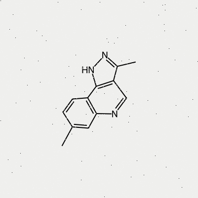 Cc1ccc2c(c1)ncc1c(C)n[nH]c12